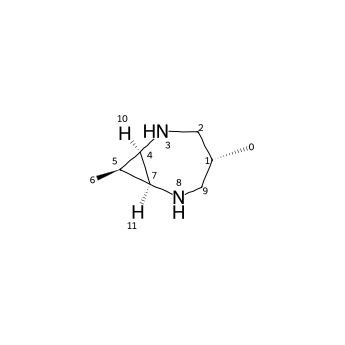 C[C@H]1CN[C@@H]2[C@H](C)[C@@H]2NC1